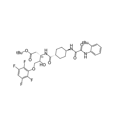 CC(C)(C)OC(=O)C[C@H](NC(=O)[C@H]1CC[C@H](NC(=O)C(=O)Nc2ccccc2C(C)(C)C)CC1)C(O)COc1c(F)c(F)cc(F)c1F